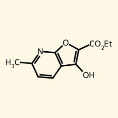 CCOC(=O)c1oc2nc(C)ccc2c1O